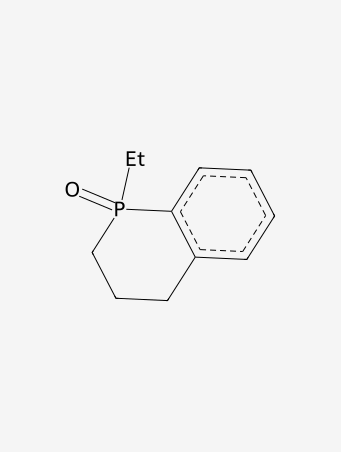 CCP1(=O)CCCc2ccccc21